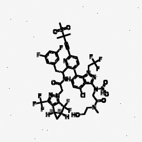 CN(CCO)C(=O)CN(c1nn(CC(F)(F)F)c2c(-c3ccc(C#CC(C)(C)S(C)(=O)=O)nc3C(Cc3cc(F)cc(F)c3)NC(=O)Cn3nc(C(F)(F)F)c4c3C(F)(F)[C@@H]3C[C@H]43)ccc(Cl)c12)[SH](=O)=O